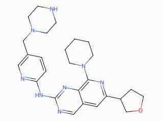 c1cc(Nc2ncc3cc(C4CCOC4)nc(N4CCCCC4)c3n2)ncc1CN1CCNCC1